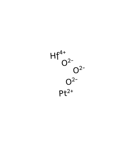 [Hf+4].[O-2].[O-2].[O-2].[Pt+2]